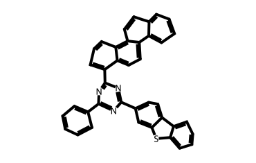 c1ccc(-c2nc(-c3ccc4c(c3)sc3ccccc34)nc(-c3cccc4c3ccc3c5ccccc5ccc43)n2)cc1